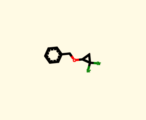 BrC1(Br)CC1OCc1ccccc1